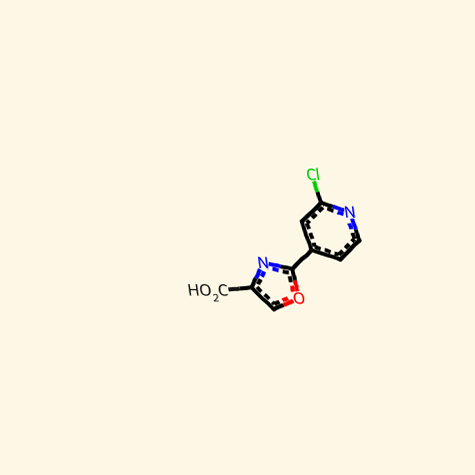 O=C(O)c1coc(-c2ccnc(Cl)c2)n1